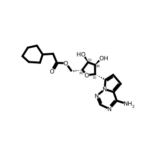 Nc1ncnn2c([C@@H]3O[C@H](COC(=O)CC4CCCCC4)[C@@H](O)[C@H]3O)ccc12